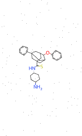 N[C@H]1CC[C@H](NC(=S)C23CC4CC(c5ccccc5)(CC(C2)C4Oc2ccccc2)C3)CC1